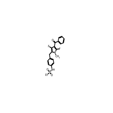 CCS(=O)(=O)Nc1ccc(Cc2c(F)c(C(=O)c3ccccc3)c(F)n2C)cc1